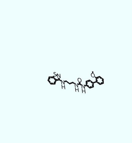 COc1ccccc1-c1ccc(NC(=O)NCCCNc2nsc3ccccc23)cc1